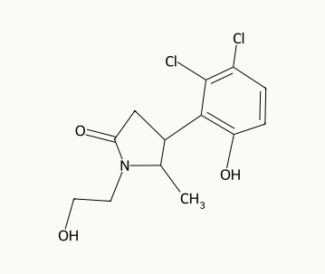 CC1C(c2c(O)ccc(Cl)c2Cl)CC(=O)N1CCO